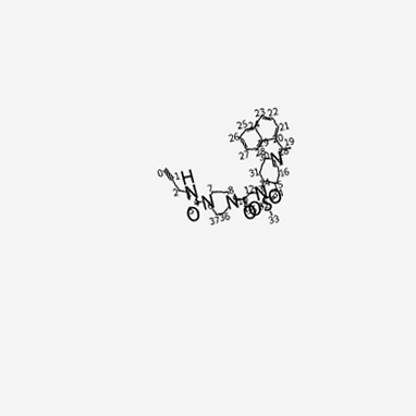 C#CCNC(=O)N1CCN(C(=O)CN(C2CCN([C@H](C)c3cccc4ccccc34)CC2)S(C)(=O)=O)CC1